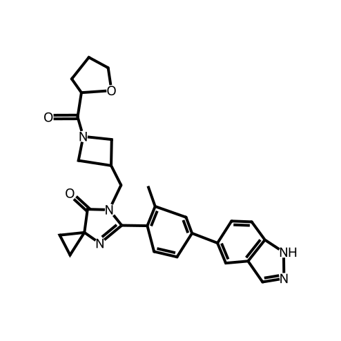 Cc1cc(-c2ccc3[nH]ncc3c2)ccc1C1=NC2(CC2)C(=O)N1CC1CN(C(=O)C2CCCO2)C1